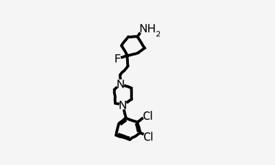 NC1CCC(F)(CCN2CCN(c3cccc(Cl)c3Cl)CC2)CC1